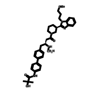 COCCCn1c([C@@H]2CCCN(C(=O)C[C@@H](Cc3ccc(-c4ccc(NC(=O)C(C)(C)O)cc4)cc3)NC(=O)O)C2)nc2ccccc21